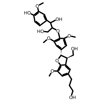 COc1cc(C(O)C(CO)Oc2c(OC)cc([C@H]3Oc4c(OC)cc(CCCO)cc4[C@@H]3CO)cc2OC)ccc1O